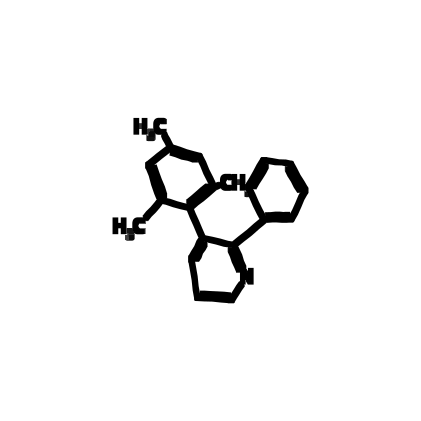 Cc1cc(C)c(-c2cccnc2-c2ccccc2)c(C)c1